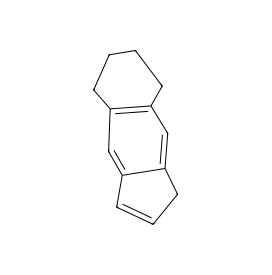 C1=Cc2cc3c(cc2C1)CCCC3